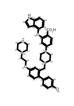 O=C(O)c1ccc(N2CCN(Cc3cc(OCCN4CCOCC4)ccc3-c3ccc(Cl)cc3)CC2)cc1Oc1cccc2[nH]ccc12